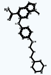 Cn1ncc2cc(C(N)=O)c(Oc3ccc(OCCCC4CCOCC4)cc3)cc21